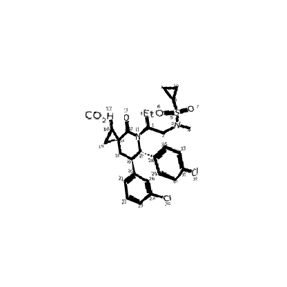 CCC(CN(C)S(=O)(=O)C1CC1)N1C(=O)[C@]2(CC2C(=O)O)C[C@H](c2cccc(Cl)c2)[C@H]1c1ccc(Cl)cc1